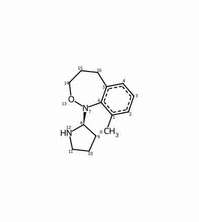 Cc1cccc2c1N([C@H]1CCCN1)OCCC2